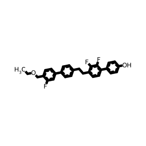 CCOCc1ccc(-c2ccc(CCc3ccc(-c4ccc(O)cc4)c(F)c3F)cc2)cc1F